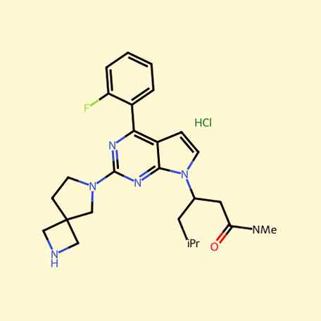 CNC(=O)CC(CC(C)C)n1ccc2c(-c3ccccc3F)nc(N3CCC4(CNC4)C3)nc21.Cl